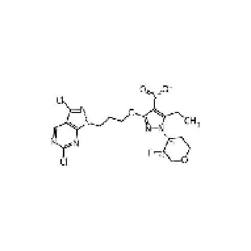 CCc1c([N+](=O)[O-])c(OCCCn2nc(Cl)c3cnc(Cl)nc32)nn1[C@@H]1CCOC[C@H]1F